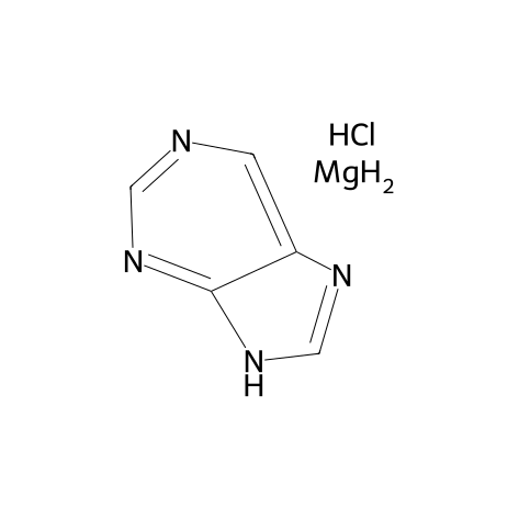 Cl.[MgH2].c1ncc2nc[nH]c2n1